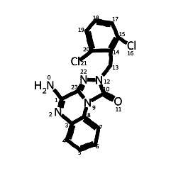 Nc1nc2ccccc2n2c(=O)n(Cc3c(Cl)cccc3Cl)nc12